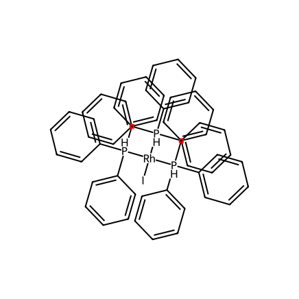 [I][Rh]([PH](c1ccccc1)(c1ccccc1)c1ccccc1)([PH](c1ccccc1)(c1ccccc1)c1ccccc1)[PH](c1ccccc1)(c1ccccc1)c1ccccc1